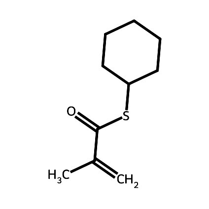 C=C(C)C(=O)SC1CCCCC1